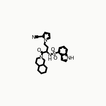 N#Cc1cccn1CCC(NS(=O)(=O)c1cccc2[nH]ccc12)C(=O)N1CCC2CCCCC2C1